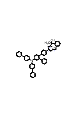 C\C1=C/C(c2ccc(-c3ccc(N(c4ccc(-c5ccccc5)cc4)c4ccc(-c5ccccc5)cc4)cc3-c3ccccc3)cc2)=C\C=C\c2ccccc2C1(C)C